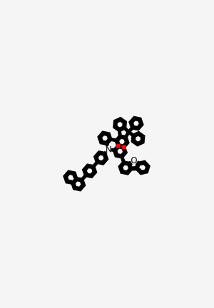 c1ccc(C2(c3ccccc3)c3ccccc3-c3c(-c4ccccc4N(c4ccc(-c5ccc(-c6cccc7ccccc67)cc5)cc4)c4cccc(-c5cccc6c5oc5ccccc56)c4)cccc32)cc1